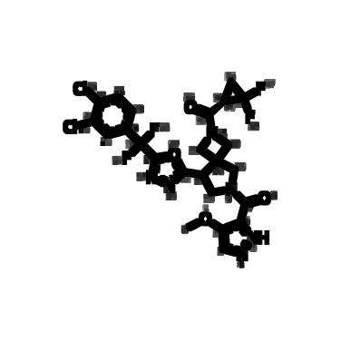 COc1cn[nH]c1C(=O)N1CC(c2nnc(C(F)(F)c3ccc(Cl)c(Cl)c3)o2)C2(C1)CN(C(=O)[C@H]1CC1(F)F)C2